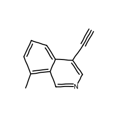 C#Cc1cncc2c(C)cccc12